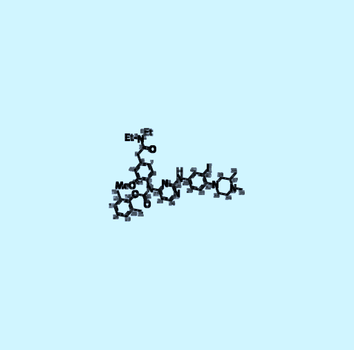 CCN(CC)C(=O)Cc1ccc(N(C(=O)Oc2c(C)cccc2C)c2ccnc(Nc3ccc(N4CCN(C)C(C)C4)c(F)c3)n2)c(OC)c1